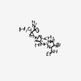 CCNc1nc(Nc2cn([C@H]3C[C@@]3(C)C(N)=O)nc2C)ncc1Br